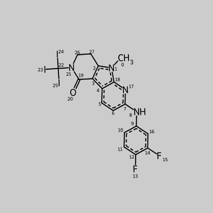 Cn1c2c(c3ccc(Nc4ccc(F)c(F)c4)nc31)C(=O)N(C(I)(I)I)CC2